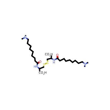 CN(C)CCCCCCCCC(=O)NC(CSSCC(NC(=O)CCCCCCCCN(C)C)C(=O)O)C(=O)O